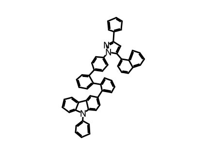 c1ccc(-c2cc(-c3cccc4ccccc34)n(-c3ccc(-c4ccccc4-c4ccccc4-c4ccc5c(c4)c4ccccc4n5-c4ccccc4)cc3)n2)cc1